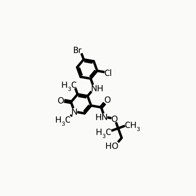 Cc1c(Nc2ccc(Br)cc2Cl)c(C(=O)NOC(C)(C)CO)cn(C)c1=O